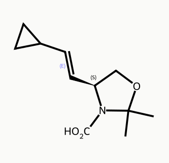 CC1(C)OC[C@H](/C=C/C2CC2)N1C(=O)O